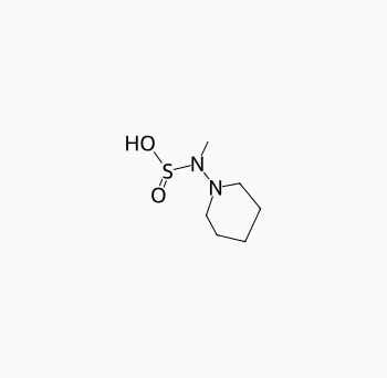 CN(N1CCCCC1)S(=O)O